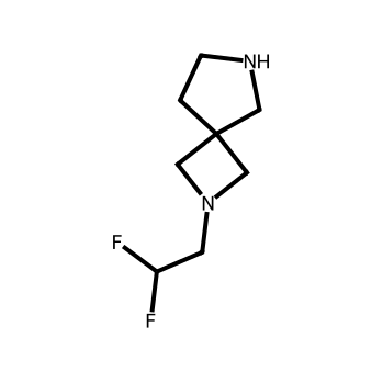 FC(F)CN1CC2(CCNC2)C1